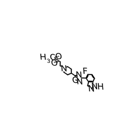 CS(=O)(=O)CCN1CCC(c2nc(-c3c(F)ccc4[nH]ncc34)no2)CC1